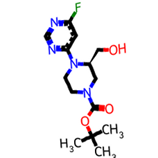 CC(C)(C)OC(=O)N1CCN(c2cc(F)ncn2)[C@@H](CO)C1